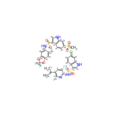 C=C(C)c1cc(F)c(NS(=O)(=O)c2c[nH]c3cc(Cl)ccc23)nc1F.CS(=O)(=O)c1ccc2c(S(=O)(=O)Nc3cc4c(cc3F)OC(F)(F)O4)c[nH]c2c1